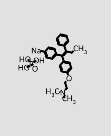 CCC(=C(c1cc[c]([Na])cc1)c1ccc(OCCN(C)C)cc1)c1ccccc1.O=P(O)(O)O